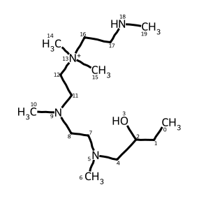 CCC(O)CN(C)CCN(C)CC[N+](C)(C)CCNC